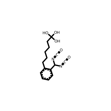 O=C=NC(N=C=O)c1ccccc1CCCCCC(O)(O)O